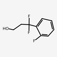 OCCC(F)(F)c1ccccc1F